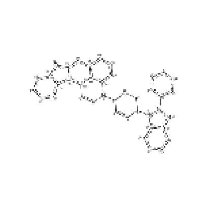 C1=CN(C2C=CC(n3c(-c4ccccc4)nc4ccccc43)CC2)c2cccc3cc4oc5ccccc5c4c1c23